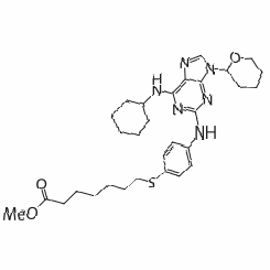 COC(=O)CCCCCCSc1ccc(Nc2nc(NC3CCCCC3)c3ncn(C4CCCCO4)c3n2)cc1